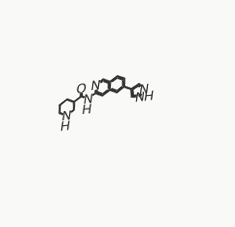 O=C(Nc1cc2cc(-c3cn[nH]c3)ccc2cn1)C1CCCNC1